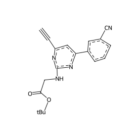 C#Cc1cc(-c2cccc(C#N)c2)nc(NCC(=O)OC(C)(C)C)n1